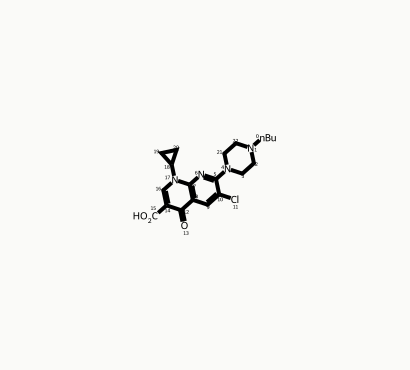 CCCCN1CCN(c2nc3c(cc2Cl)c(=O)c(C(=O)O)cn3C2CC2)CC1